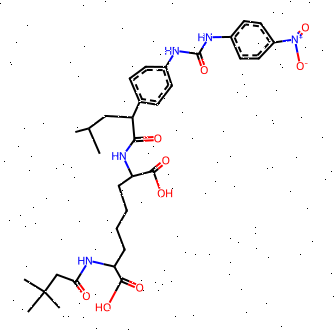 CC(C)CC(C(=O)NC(CCCCC(NC(=O)CC(C)(C)C)C(=O)O)C(=O)O)c1ccc(NC(=O)Nc2ccc([N+](=O)[O-])cc2)cc1